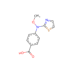 CON(c1ccc(C(=O)O)cc1)c1nccs1